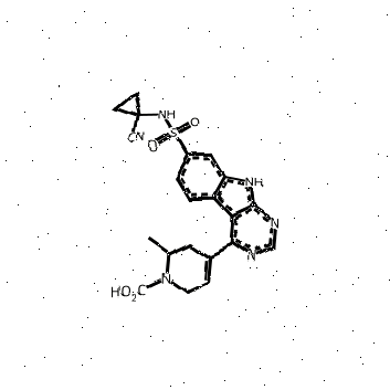 CC1CC(c2ncnc3[nH]c4cc(S(=O)(=O)NC5(C#N)CC5)ccc4c23)=CCN1C(=O)O